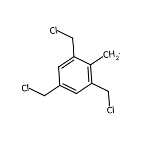 [CH2]c1c(CCl)cc(CCl)cc1CCl